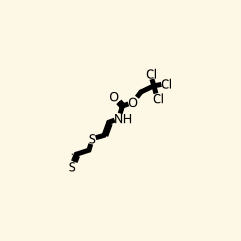 O=C(NC=CSC[C]=S)OCC(Cl)(Cl)Cl